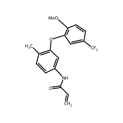 C=CC(=O)Nc1ccc(C)c(Oc2cc(C(F)(F)F)ccc2OC)c1